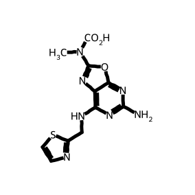 CN(C(=O)O)c1nc2c(NCc3nccs3)nc(N)nc2o1